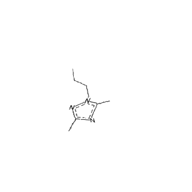 CCCn1nc(C)nc1C